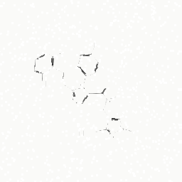 Cc1nn(C)cc1CN(C)C(=O)c1cnc(SCc2c(F)cccc2Cl)n1-c1ccc(F)cc1